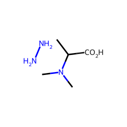 CC(C(=O)O)N(C)C.NN